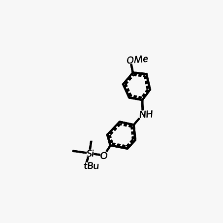 COc1ccc(Nc2ccc(O[Si](C)(C)C(C)(C)C)cc2)cc1